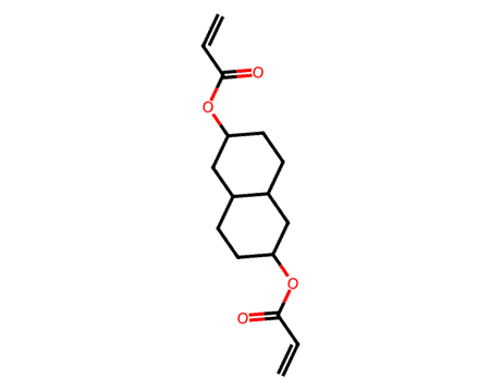 C=CC(=O)OC1CCC2CC(OC(=O)C=C)CCC2C1